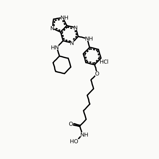 Cl.O=C(CCCCCCOc1ccc(Nc2nc(NC3CCCCC3)c3nc[nH]c3n2)cc1)NO